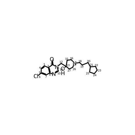 O=c1c2ccc(Cl)cc2ncn1CC1(O)CCN(CCCC2CCCC2)CC1